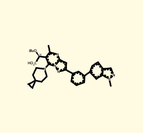 Cc1nc2cc(-c3cccc(-c4ccc5cnn(C)c5c4)c3)nn2c(N2CCC3(CC2)CC3)c1[C@H](OCC(C)C)C(=O)O